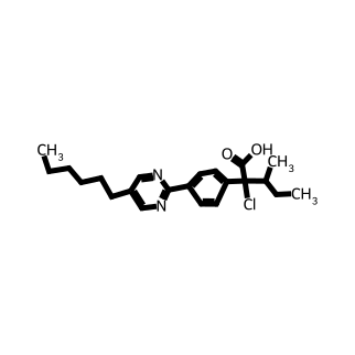 CCCCCCc1cnc(-c2ccc(C(Cl)(C(=O)O)C(C)CC)cc2)nc1